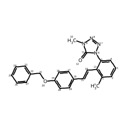 Cc1cccc(-n2nnn(C)c2=O)c1C=Cc1ccc(OCc2ccccc2)cc1